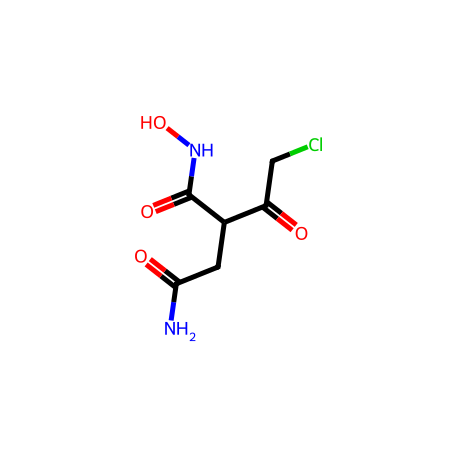 NC(=O)CC(C(=O)CCl)C(=O)NO